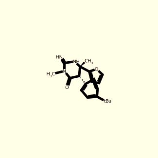 CN1C(=N)N[C@](C)(c2ccco2)[C@H](c2ccc(C(C)(C)C)cc2)C1=O